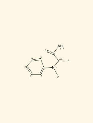 C[C@@H](C(N)=O)N(C)c1ccccc1